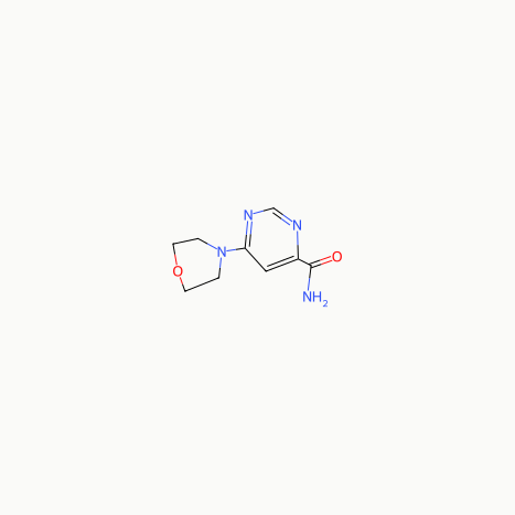 NC(=O)c1cc(N2CCOCC2)ncn1